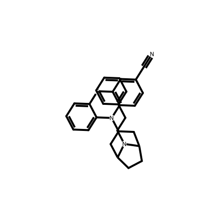 N#Cc1ccc2c(c1)Sc1ccccc1N2C1CC2CCC(C1)N2CCc1ccccc1